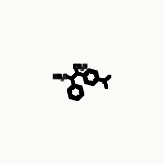 CN(C)c1ccc(C(C(=O)O)C(C(=O)O)c2ccccc2)cc1